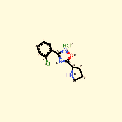 Cl.Clc1ccccc1-c1noc(C2CCCN2)n1